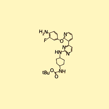 CC(C)(C)OC(=O)NC1CCC(Nc2nccc(-c3cccnc3Oc3ccc(N)c(F)c3)n2)CC1